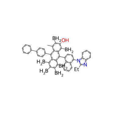 Bc1c(B)c(B)c2c(-c3ccc(-c4ccccc4)cc3)c3c(C)c(B)c(O)c(B)c3c(-c3ccc(-n4c(CC)nc5ccccc54)c4ccccc34)c2c1B